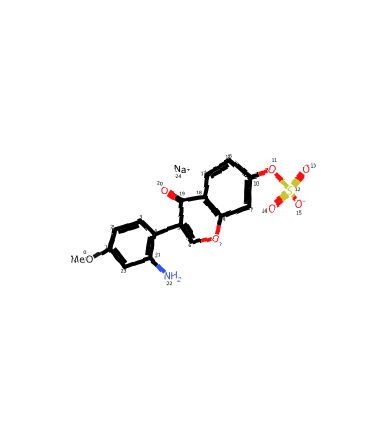 COc1ccc(-c2coc3cc(OS(=O)(=O)[O-])ccc3c2=O)c(N)c1.[Na+]